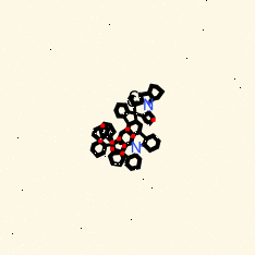 c1ccc(-c2ccc(-c3ccccc3N(c3ccccc3-c3ccc4c(c3)C3(c5ccccc5-4)c4ccccc4-n4c5ccccc5c5cccc3c54)c3cccc4c3-c3ccccc3C4(c3ccccc3)c3ccccc3)cc2)cc1